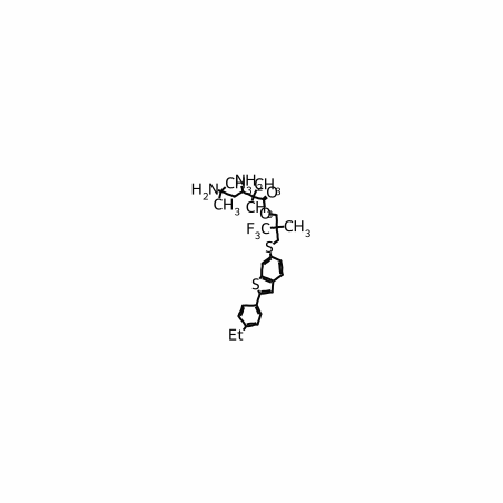 CCc1ccc(-c2cc3ccc(SCC(C)(COC(=O)C(C)(C)C(N)CC(C)(C)N)C(F)(F)F)cc3s2)cc1